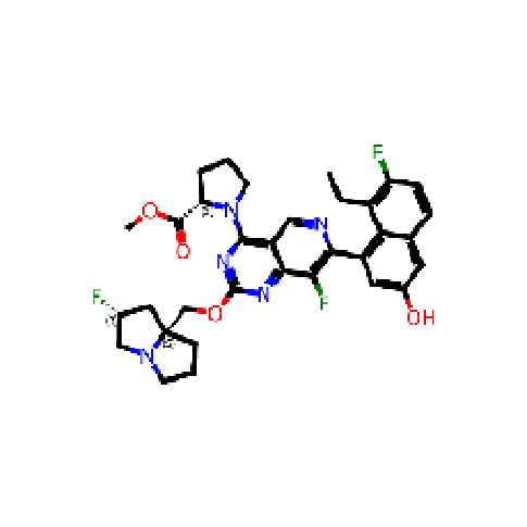 CCc1c(F)ccc2cc(O)cc(-c3ncc4c(N5CCC[C@H]5C(=O)OC)nc(OC[C@@]56CCCN5C[C@H](F)C6)nc4c3F)c12